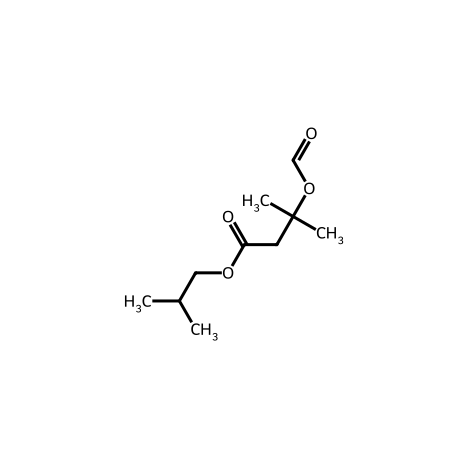 CC(C)COC(=O)CC(C)(C)OC=O